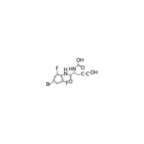 O=C(O)NC(CCCO)C(=O)Nc1c(F)cc(Br)cc1F